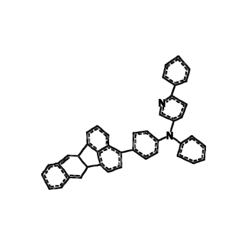 C1=c2ccccc2=CC2c3ccc(-c4ccc(N(c5ccccc5)c5ccc(-c6ccccc6)nc5)cc4)c4cccc(c34)C12